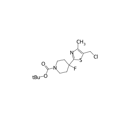 Cc1nc(C2(F)CCN(C(=O)OC(C)(C)C)CC2)sc1CCl